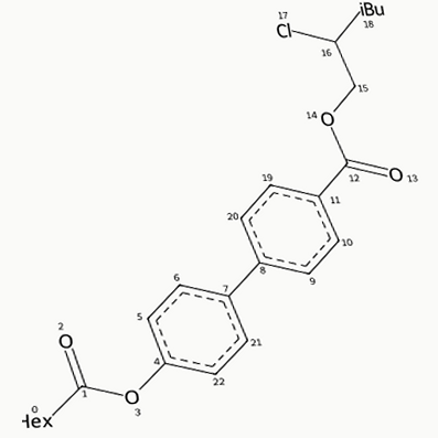 CCCCCCC(=O)Oc1ccc(-c2ccc(C(=O)OCC(Cl)C(C)CC)cc2)cc1